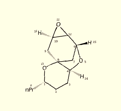 CCC[C@H]1CC[C@@H]2O[C@@H]3C[C@]2(C[C@H]2OC23)O1